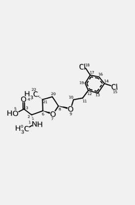 CN[C@H](C(=O)O)[C@@H]1O[C@H](OCCc2cc(Cl)cc(Cl)c2)C[C@H]1C